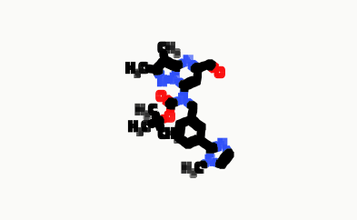 Cc1nn2c(N(Cc3cccc(-c4nccn4C)c3)C(=O)OC(C)(C)C)cc(C=O)nc2c1C